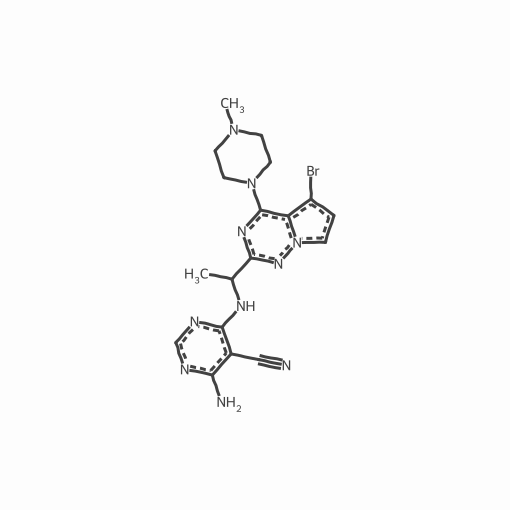 CC(Nc1ncnc(N)c1C#N)c1nc(N2CCN(C)CC2)c2c(Br)ccn2n1